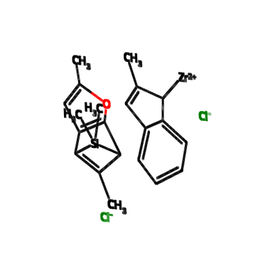 CC1=C2c3cc(C)oc3C1[Si]2(C)C.CC1=Cc2ccccc2[CH]1[Zr+2].[Cl-].[Cl-]